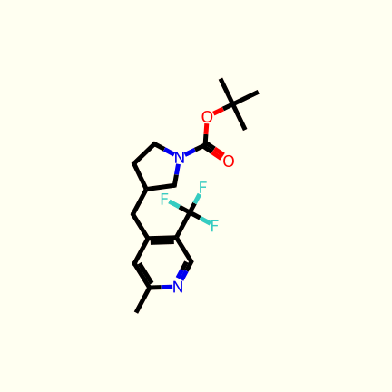 Cc1cc(CC2CCN(C(=O)OC(C)(C)C)C2)c(C(F)(F)F)cn1